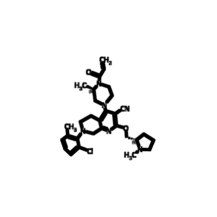 C=CC(=O)N1CCN(c2c(C#N)c(OC[C@@H]3CCCN3C)nc3c2CCN(c2c(C)cccc2Cl)C3)C[C@H]1C